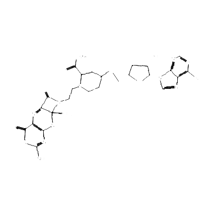 COC(=O)C1CC(SC[C@@H]2C[C@H](O)[C@H](n3cnc4c(N)ncnc43)O2)CCN1CCN1C(=O)C2=Nc3c(nc(N)[nH]c3=O)NC21C